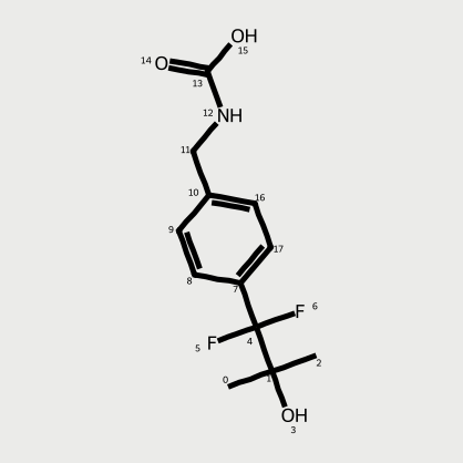 CC(C)(O)C(F)(F)c1ccc(CNC(=O)O)cc1